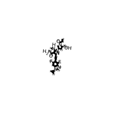 C=CC(=O)N1C[C@@H](n2nc(C#Cc3c(F)cc4c(ncn4C4CC4)c3F)c(C(N)=O)c2NC)C[C@@H]1CO